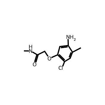 CNC(=O)COc1cc(N)c(C)cc1Cl